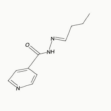 CCC/C=N/NC(=O)c1ccncc1